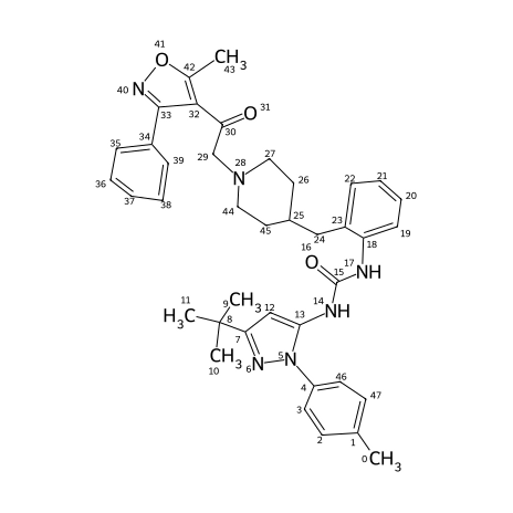 Cc1ccc(-n2nc(C(C)(C)C)cc2NC(=O)Nc2ccccc2CC2CCN(CC(=O)c3c(-c4ccccc4)noc3C)CC2)cc1